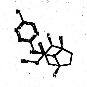 CC(C)(C)OC(=O)N1[C@@H]2CC[C@H]1[C@H](F)[C@H](Nc1ncc(Br)nn1)C2